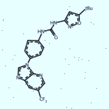 CC(C)(C)c1cc(NC(=O)Nc2ccc(-n3cnc4cc(C(F)(F)F)cnc43)cc2)no1